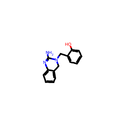 NC1=Nc2ccccc2CN1Cc1ccccc1O